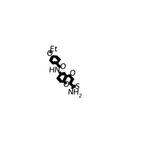 CCOc1ccc(C(=O)Nc2ccc3oc(C(N)=S)cc(=O)c3c2)cc1